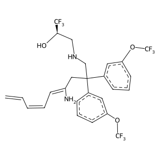 C=C/C=C\C=C(/N)CC(CNC[C@@H](O)C(F)(F)F)(c1cccc(OC(F)(F)F)c1)c1cccc(OC(F)(F)F)c1